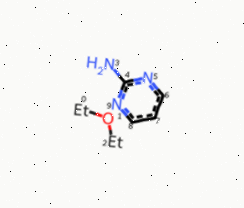 CCOCC.Nc1ncccn1